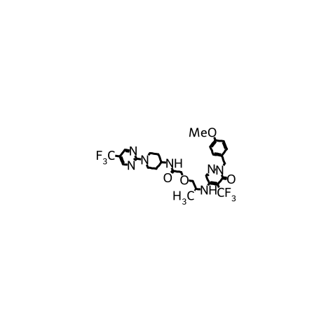 COc1ccc(Cn2ncc(N[C@@H](C)COCC(=O)NC3CCN(c4ncc(C(F)(F)F)cn4)CC3)c(C(F)(F)F)c2=O)cc1